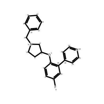 Fc1ccc(OC2CCN(Cc3ccccc3)C2)c(-c2ccncc2)c1